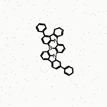 C1=CC(C2=CC=C3c4cccc5c4N(c4cccc6c4B5c4ccc(-c5ccccc5)c5c7c(n-6c45)C=CCC7)C3C2)=CCC1